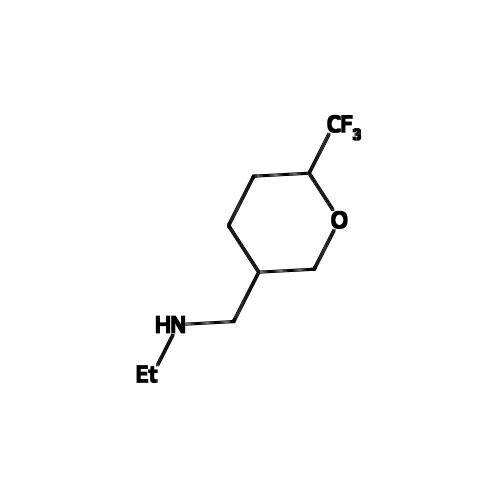 CCNCC1CCC(C(F)(F)F)OC1